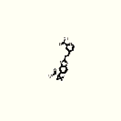 NC(=O)[C@@]1(c2ccc3nc(CCc4ccnc(C(=O)O)c4)oc3c2)CC1(F)F